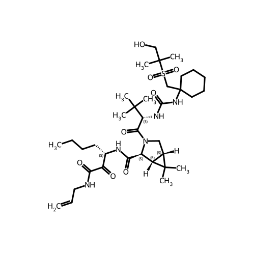 C=CCNC(=O)C(=O)[C@H](CCCC)NC(=O)[C@@H]1[C@@H]2[C@H](CN1C(=O)[C@@H](NC(=O)NC1(CS(=O)(=O)C(C)(C)CO)CCCCC1)C(C)(C)C)C2(C)C